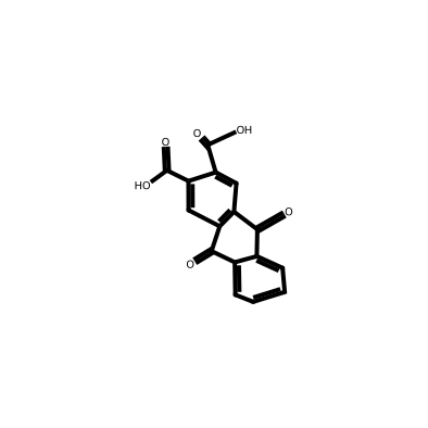 O=C(O)c1cc2c(cc1C(=O)O)C(=O)c1ccccc1C2=O